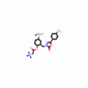 CS(=O)(=O)O.C[N+](C)(C)CC(=O)Oc1ccc(Cl)cc1Cn1nc(-c2ccc(C(F)(F)F)cc2)oc1=O